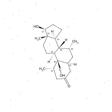 C[C@@H]1C[C@H]2CC(=O)C[C@H](C)[C@]2(CO)[C@H]2CC[C@]3(C)[C@@H](O)CC[C@H]3[C@H]12